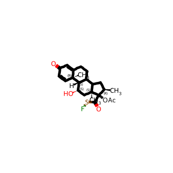 CC(=O)OC1(C(=O)SF)[C@H](C)CC2C3CCC4=CC(=O)C=C[C@]4(C)[C@H]3[C@@H](O)C[C@@]21C